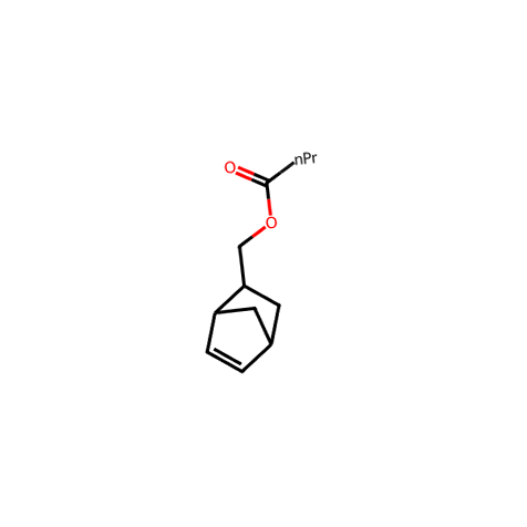 CCCC(=O)OCC1CC2C=CC1C2